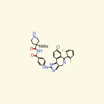 CNC1(C(=O)NC(=O)c2ccc(Nc3ncc4c(n3)-c3ccc(Cl)cc3C(c3c(F)cccc3F)=NC4)cc2)CCNCC1